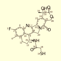 Cc1c(F)cc2nc3c(c4c2c1CC[C@@H]4NC(=O)CS)Cn1c-3cc2c(c1=O)COC(=O)[C@@]2(C)O